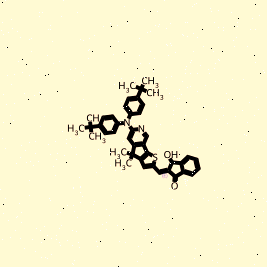 CC(C)(C)c1ccc(N(c2ccc(C(C)(C)C)cc2)c2cc3c(cn2)-c2sc(/C=C4/C(=O)c5ccccc5C4O)cc2C3(C)C)cc1